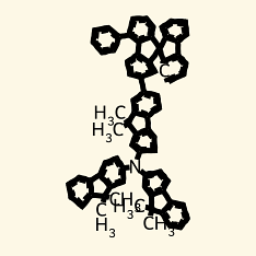 CC1(C)c2ccccc2-c2ccc(N(c3ccc4c(c3)C(C)(C)c3ccccc3-4)c3ccc4c(c3)C(C)(C)c3cc(-c5ccc6c(c5)C5(c7ccccc7-c7ccccc75)c5cccc(-c7ccccc7)c5-6)ccc3-4)cc21